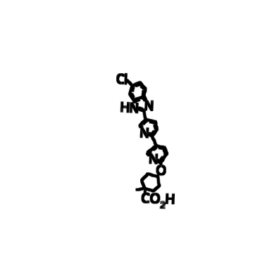 C[C@]1(C(=O)O)CC[C@H](Oc2ccc(-c3ccc(-c4nc5ccc(Cl)cc5[nH]4)cn3)cn2)CC1